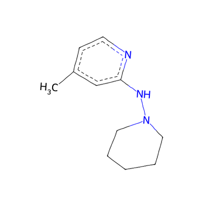 Cc1ccnc(NN2CCCCC2)c1